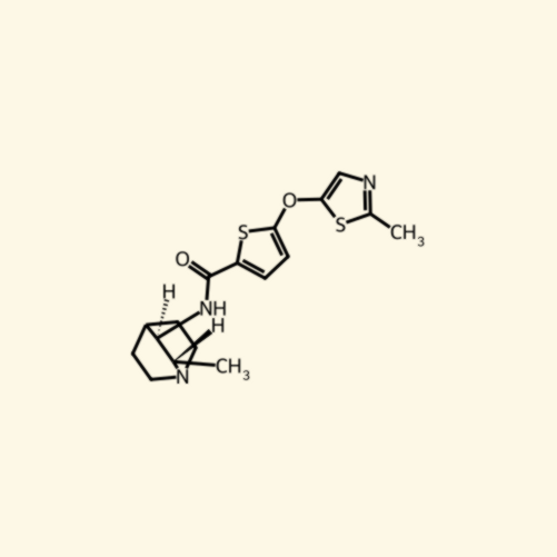 Cc1ncc(Oc2ccc(C(=O)N[C@@H]3C4CCN(CC4)[C@H]3C)s2)s1